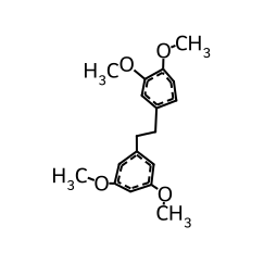 COc1cc(CCc2ccc(OC)c(OC)c2)cc(OC)c1